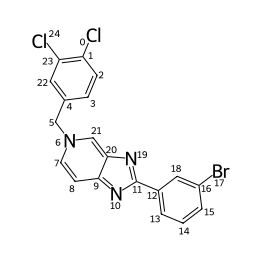 Clc1ccc(Cn2ccc3nc(-c4cccc(Br)c4)nc-3c2)cc1Cl